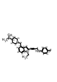 CCn1c(C#CCNc2ccc(F)cc2)cc2c(CN3CCC(N(C)C)CC3)cccc21